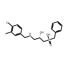 O=P(O)(Cc1ccccc1)C[C@@H](O)CNCc1ccc(Cl)c(I)c1